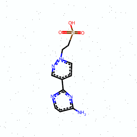 Nc1ccnc(-c2cc[n+](CCS(=O)(=O)O)nc2)n1